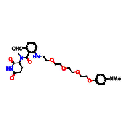 CNc1ccc(OCCOCCOCCOCCNc2cccc(C=O)c2C(=O)N(C)C2CCC(=O)NC2=O)cc1